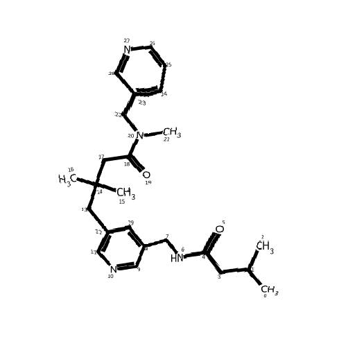 CC(C)CC(=O)NCc1cncc(CC(C)(C)CC(=O)N(C)Cc2cccnc2)c1